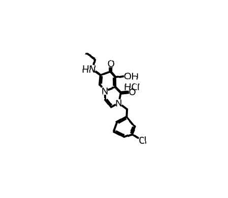 CCNc1cn2ccn(Cc3cccc(Cl)c3)c(=O)c2c(O)c1=O.Cl